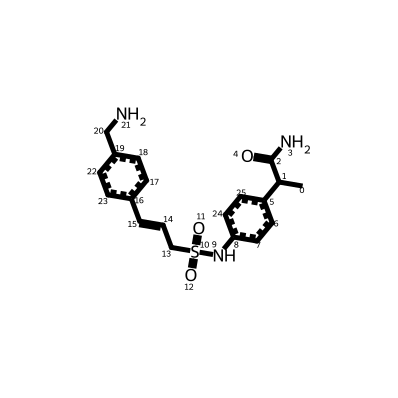 CC(C(N)=O)c1ccc(NS(=O)(=O)CC=Cc2ccc(CN)cc2)cc1